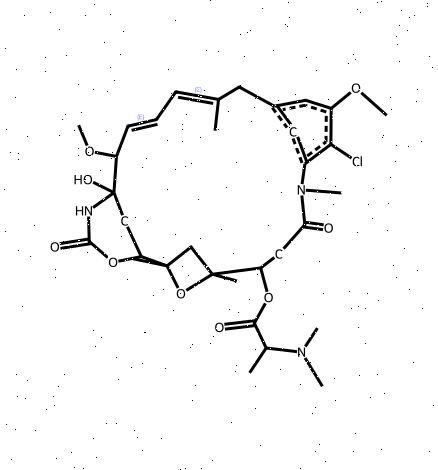 COc1cc2cc(c1Cl)N(C)C(=O)CC(OC(=O)C(C)N(C)C)C1(C)CC(C)(O1)C1CC(O)(NC(=O)O1)C(OC)/C=C/C=C(\C)C2